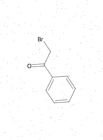 O=C(CBr)c1[c]cccc1